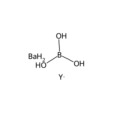 OB(O)O.[BaH2].[Y]